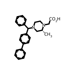 C[C@@H]1CN(C(c2ccccc2)c2ccc(-c3ccccc3)cc2)CCN1CC(=O)O